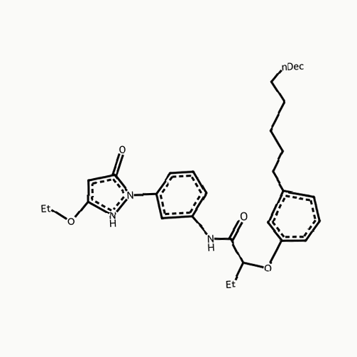 CCCCCCCCCCCCCCCc1cccc(OC(CC)C(=O)Nc2cccc(-n3[nH]c(OCC)cc3=O)c2)c1